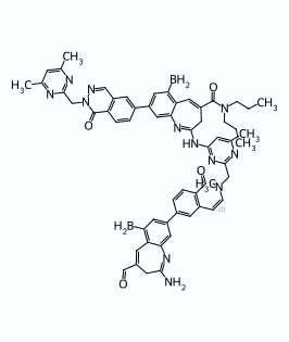 Bc1cc(-c2ccc(C=O)c(/C=C\N(C)Cc3nc(C)cc(NC4=Nc5cc(-c6ccc7c(=O)n(Cc8nc(C)cc(C)n8)ncc7c6)cc(B)c5C=C(C(=O)N(CCC)CCC)C4)n3)c2)cc2c1C=C(C=O)CC(N)=N2